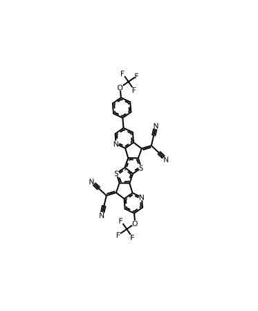 N#CC(C#N)=C1c2cc(OC(F)(F)F)cnc2-c2c1sc1c3c(sc21)C(=C(C#N)C#N)c1cc(-c2ccc(OC(F)(F)F)cc2)cnc1-3